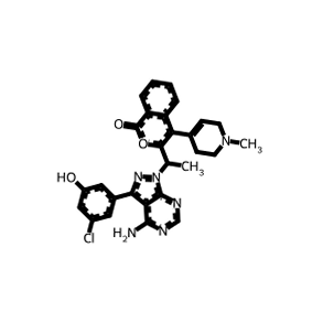 CC(c1oc(=O)c2ccccc2c1C1=CCN(C)CC1)n1nc(-c2cc(O)cc(Cl)c2)c2c(N)ncnc21